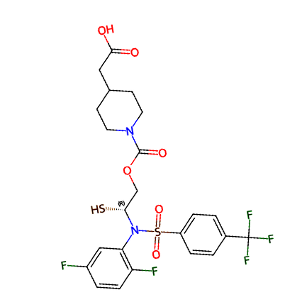 O=C(O)CC1CCN(C(=O)OC[C@@H](S)N(c2cc(F)ccc2F)S(=O)(=O)c2ccc(C(F)(F)F)cc2)CC1